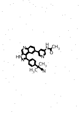 CC(=O)Nc1cncc(-c2ccc3ncc4[nH]nc(-c5ccc(C(C)(C)C#N)cc5)c4c3c2)c1